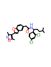 Cc1noc(C)c1-c1cc2cc(CC(=O)NC(CCC(C)C)c3ccc(Cl)cc3Cl)ccc2o1